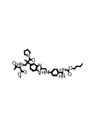 CCCCOC(=O)NC(=N)c1ccc(NCc2nc3cc(C(C)(CNC(C(C)=O)C(=O)OC)C(=O)N4CCCC4)ccc3n2C)cc1